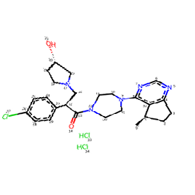 C[C@@H]1CCc2ncnc(N3CCN(C(=O)[C@H](CN4CC[C@H](O)C4)c4ccc(Cl)cc4)CC3)c21.Cl.Cl